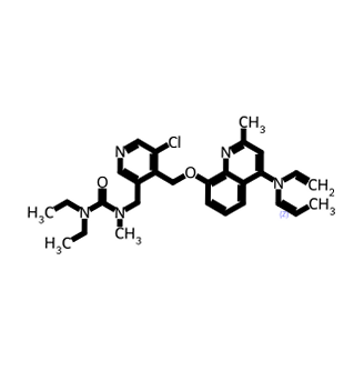 C=CN(/C=C\C)c1cc(C)nc2c(OCc3c(Cl)cncc3CN(C)C(=O)N(CC)CC)cccc12